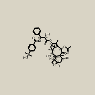 CC(=O)O[C@H]1C(=O)[C@@]2(C)[C@H]([C@H](O)[C@]3(C)C[C@H](OC(=O)[C@H](O)[C@@H](NC(=O)c4ccc([Si](C)(C)O)cc4)c4ccccc4)C(C)=C1C3(C)C)[C@]1(O)CO[C@@H]1C[C@@H]2O